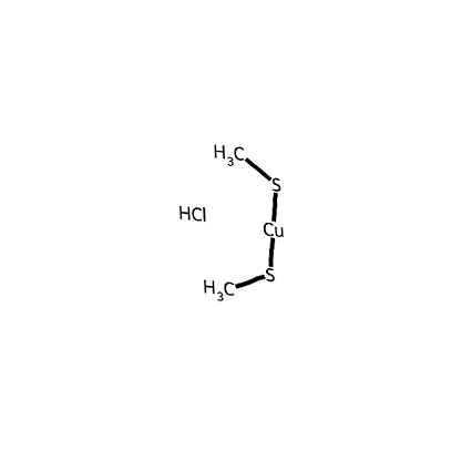 C[S][Cu][S]C.Cl